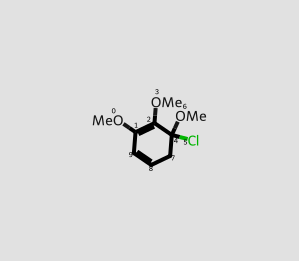 COC1=C(OC)C(Cl)(OC)CC=C1